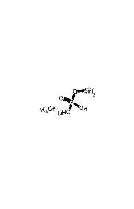 O=P(O)(O)O[SiH3].[GeH4].[LiH]